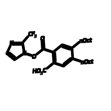 CCCCCCCCc1cc(C(=O)O)c(C(=O)On2ccnc2C(F)(F)F)cc1CCCCCCCC